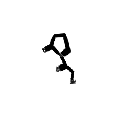 O=C(CS)N1CCCC1=O